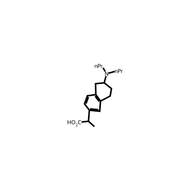 CCCN(CCC)C1CCc2cc(C(C)C(=O)O)ccc2C1